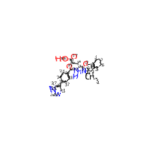 CC(C)(Cc1ccccc1)NC(=O)[C@H](CCC(=O)O)NC(=O)c1ccc(-c2cncnc2)cc1